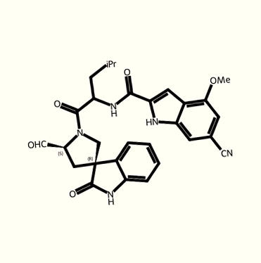 COc1cc(C#N)cc2[nH]c(C(=O)NC(CC(C)C)C(=O)N3C[C@]4(C[C@H]3C=O)C(=O)Nc3ccccc34)cc12